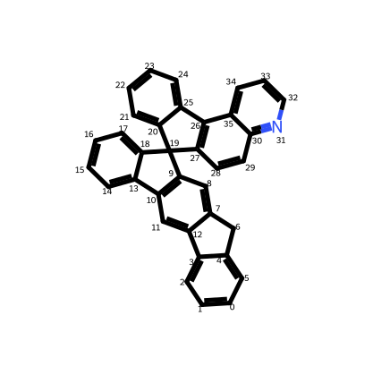 c1ccc2c(c1)Cc1cc3c(cc1-2)-c1ccccc1C31c2ccccc2-c2c1ccc1ncccc21